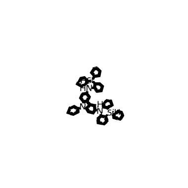 c1ccc(-n2c3ccc(Nc4ccccc4[SiH](c4ccccc4)c4ccccc4)cc3c3cc(Nc4ccccc4[SiH](c4ccccc4)c4ccccc4)ccc32)cc1